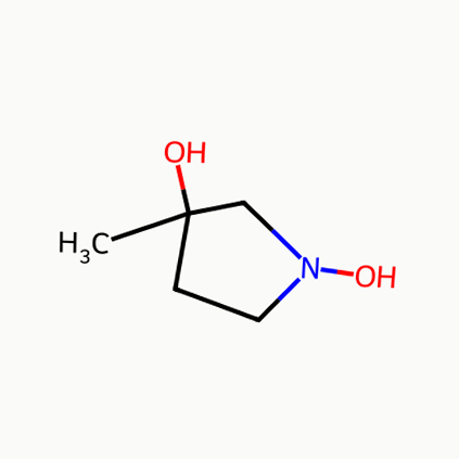 CC1(O)CCN(O)C1